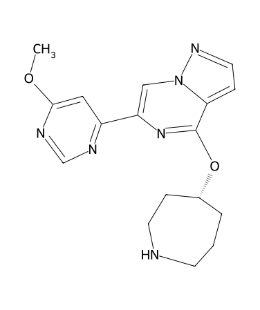 COc1cc(-c2cn3nccc3c(O[C@@H]3CCCNCC3)n2)ncn1